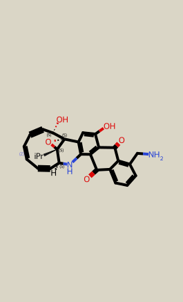 CC(C)[C@@]12O[C@]13c1cc(O)c4c(c1N[C@H]2C#C/C=C\C#C[C@@H]3O)C(=O)c1cccc(CN)c1C4=O